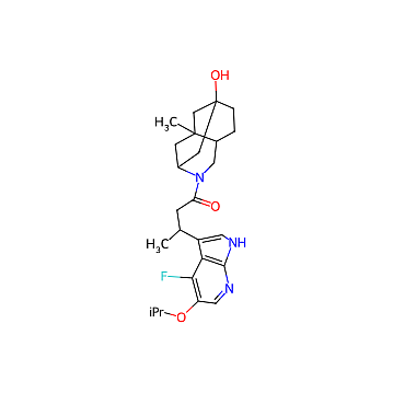 CC(C)Oc1cnc2[nH]cc(C(C)CC(=O)N3CC4CCC5(O)CC3CC4(C)C5)c2c1F